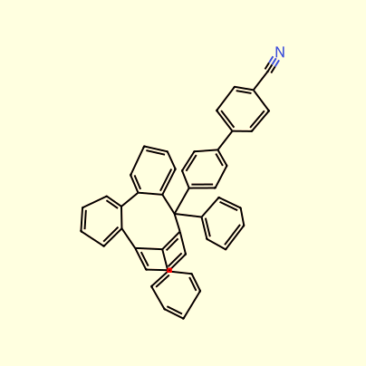 N#Cc1ccc(-c2ccc(C3(c4ccccc4)c4ccccc4-c4ccccc4-c4cccc3c4-c3ccccc3)cc2)cc1